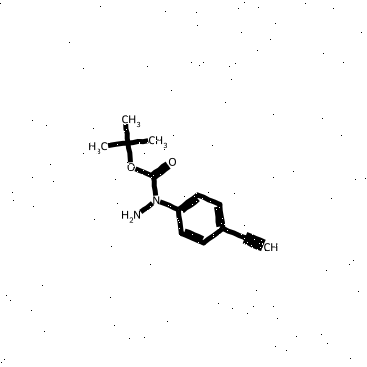 C#Cc1ccc(N(N)C(=O)OC(C)(C)C)cc1